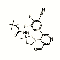 CC1(NC(=O)OC(C)(C)C)CCN(c2c(C=O)cncc2-c2cc(F)c(F)c(C#N)c2)C1